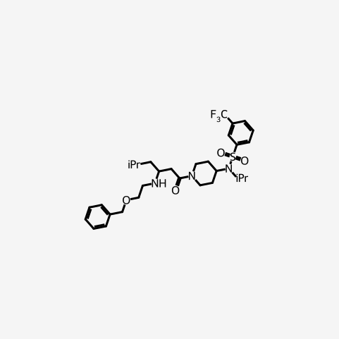 CC(C)CC(CC(=O)N1CCC(N(C(C)C)S(=O)(=O)c2cccc(C(F)(F)F)c2)CC1)NCCOCc1ccccc1